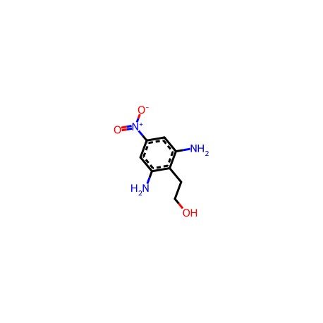 Nc1cc([N+](=O)[O-])cc(N)c1CCO